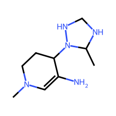 CC1NCNN1C1CCN(C)C=C1N